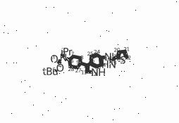 CC(C)N(C(=O)OC(C)(C)C)C1CCC(c2c[nH]c3cc(NC(=N)c4cccs4)ccc23)CC1